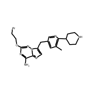 Cc1cc(Cc2cnc3c(N)nc(OCCC(C)C)nn23)cnc1C1CCNCC1